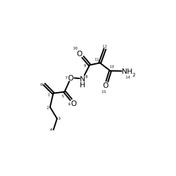 C=C(CCC)C(=O)ONC(=O)C(=C)C(N)=O